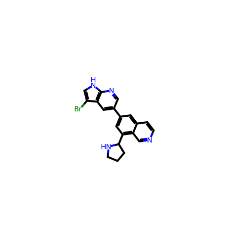 Brc1c[nH]c2ncc(-c3cc(C4CCCN4)c4cnccc4c3)cc12